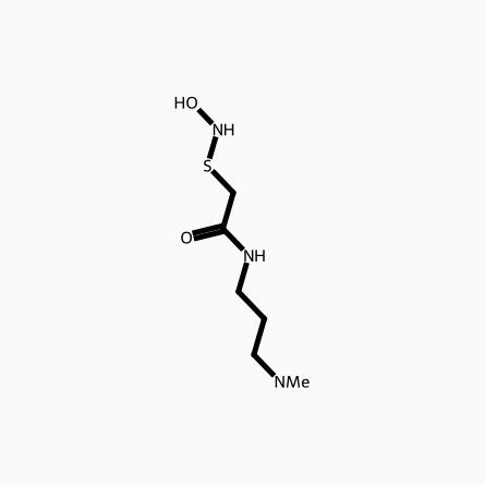 CNCCCNC(=O)CSNO